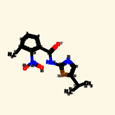 Cc1cccc(C(=O)Nc2ncc(C(C)C)s2)c1[N+](=O)[O-]